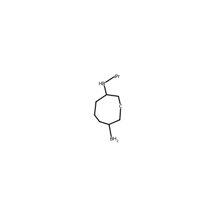 BC1CCCC(BC(C)C)CCC1